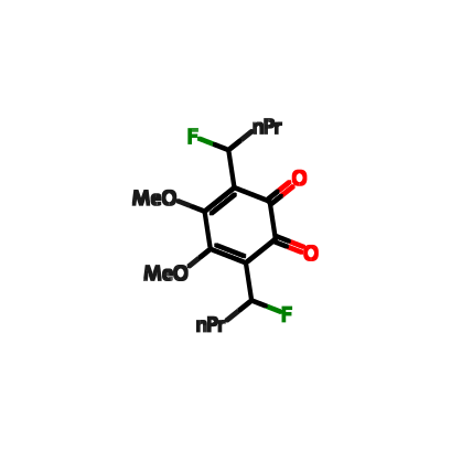 CCCC(F)C1=C(OC)C(OC)=C(C(F)CCC)C(=O)C1=O